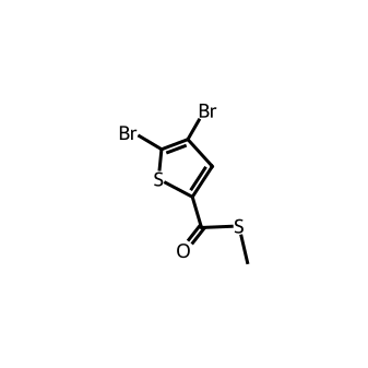 CSC(=O)c1cc(Br)c(Br)s1